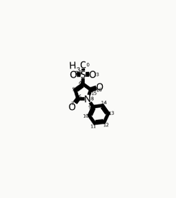 CS(=O)(=O)C1=CC(=O)N(c2ccccc2)C1=O